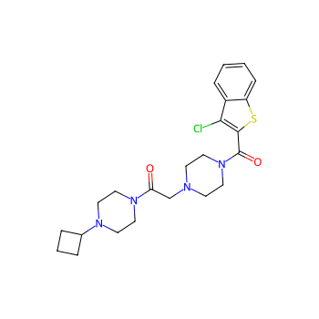 O=C(CN1CCN(C(=O)c2sc3ccccc3c2Cl)CC1)N1CCN(C2CCC2)CC1